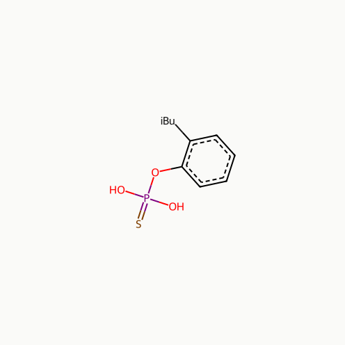 CCC(C)c1ccccc1OP(O)(O)=S